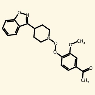 COc1cc(C(C)=O)ccc1OON1CCC(c2noc3ccccc23)CC1